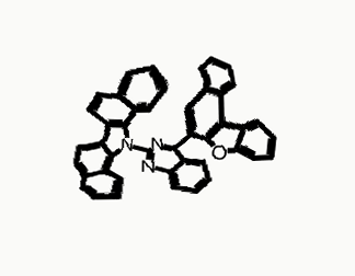 c1ccc2c(c1)cc(-c1nc(-n3c4c5ccccc5ccc4c4ccc5ccccc5c43)nc3ccccc13)c1oc3ccccc3c12